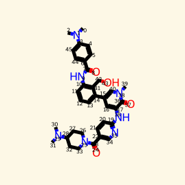 CN(C)c1ccc(C(=O)Nc2cccc(-c3cc(Nc4ccc(C(=O)N5CCC(N(C)C)CC5)cn4)c(=O)n(C)c3)c2CO)cc1